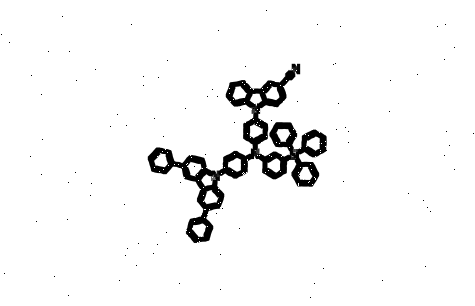 N#Cc1ccc2c(c1)c1ccccc1n2-c1ccc(N(c2ccc(-n3c4ccc(-c5ccccc5)cc4c4cc(-c5ccccc5)ccc43)cc2)c2cccc([Si](c3ccccc3)(c3ccccc3)c3ccccc3)c2)cc1